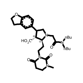 CCCCN(CCCC)C(=O)CN1CC(c2ccc3c(c2)CCO3)[C@@H](C(=O)O)[C@@H]1CCN1C(=O)CCN(C)C1=O